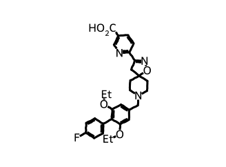 CCOc1cc(CN2CCC3(CC2)CC(c2ccc(C(=O)O)cn2)=NO3)cc(OCC)c1-c1ccc(F)cc1